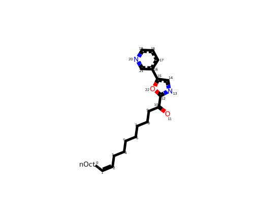 CCCCCCCC/C=C\CCCCCCCC(=O)c1ncc(-c2cccnc2)o1